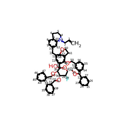 C=CCN1CCCc2ccc(Cc3cc(C4(O)O[C@H](COCc5ccccc5)[C@@H](F)[C@H](OCc5ccccc5)[C@H]4OCc4ccccc4)c(OCc4ccccc4)c4c3OCC4)cc21